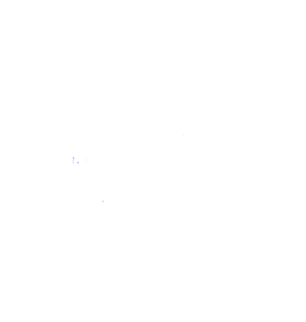 O=C(O)C(Cc1ccc(Oc2cccc3ccccc23)cc1)NCl